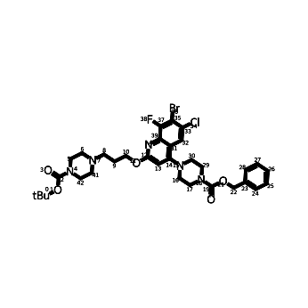 CC(C)(C)OC(=O)N1CCN(CCCOc2cc(N3CCN(C(=O)OCc4ccccc4)CC3)c3cc(Cl)c(Br)c(F)c3n2)CC1